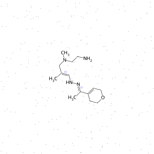 C/C(=C\N/N=C(\C)C1=CCOCC1)CN(C)CCN